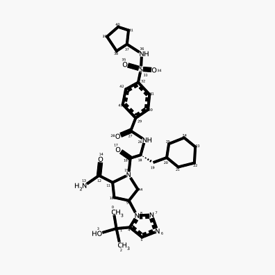 CC(C)(O)c1cnnn1C1CC(C(N)=O)N(C(=O)[C@@H](CC2CCCCC2)NC(=O)c2ccc(S(=O)(=O)NC3CCCC3)cc2)C1